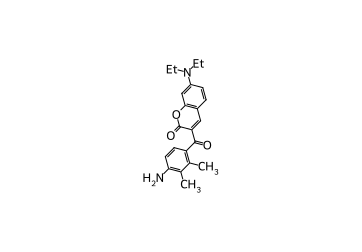 CCN(CC)c1ccc2cc(C(=O)c3ccc(N)c(C)c3C)c(=O)oc2c1